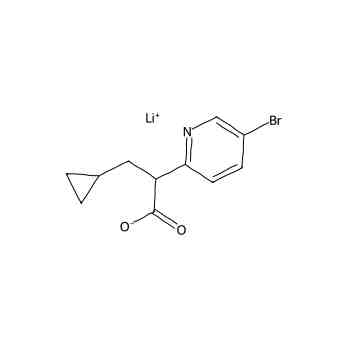 O=C([O-])C(CC1CC1)c1ccc(Br)cn1.[Li+]